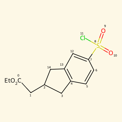 CCOC(=O)CC1Cc2ccc(S(=O)(=O)Cl)cc2C1